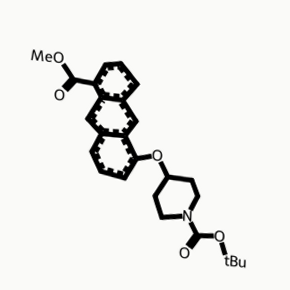 COC(=O)c1cccc2cc3c(OC4CCN(C(=O)OC(C)(C)C)CC4)cccc3cc12